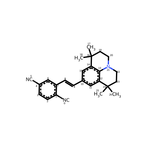 [C-]#[N+]c1ccc(C#N)cc1C=Cc1cc2c3c(c1)C(C)(C)CCN3CCC2(C)C